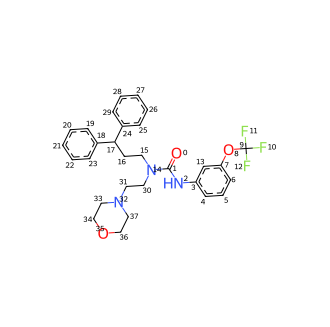 O=C(Nc1cccc(OC(F)(F)F)c1)N(CCC(c1ccccc1)c1ccccc1)CCN1CCOCC1